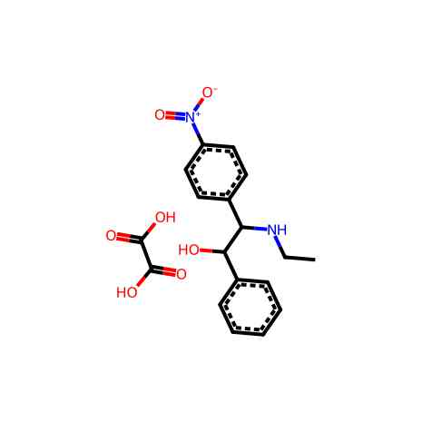 CCNC(c1ccc([N+](=O)[O-])cc1)C(O)c1ccccc1.O=C(O)C(=O)O